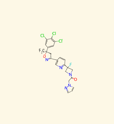 O=C(Cn1cccn1)N1CC(F)(c2ccc(C3=NOC(c4cc(Cl)c(Cl)c(Cl)c4)(C(F)(F)F)C3)cn2)C1